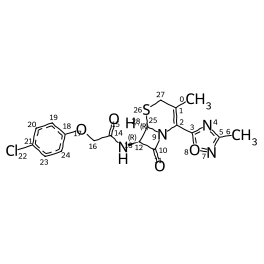 CC1=C(c2nc(C)no2)N2C(=O)[C@@H](NC(=O)COc3ccc(Cl)cc3)[C@H]2SC1